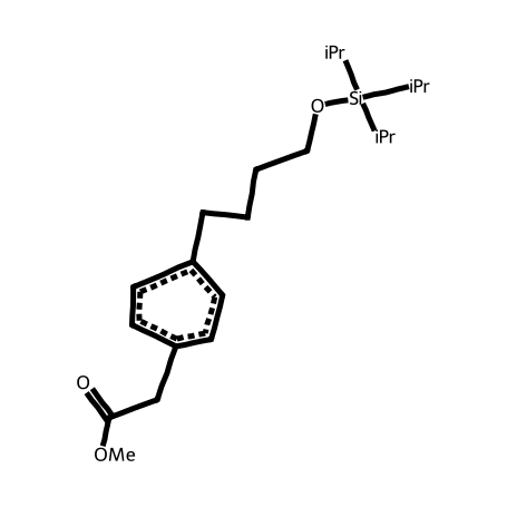 COC(=O)Cc1ccc(CCCCO[Si](C(C)C)(C(C)C)C(C)C)cc1